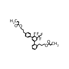 C=CC(=O)OCCCc1ccc(-c2cc(-c3ccccc3CCCOC(=O)C=C)cc(C(F)(F)F)c2F)cc1